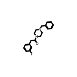 O=C(Cc1cccc(F)c1)N1CCN(Cc2ccccc2)CC1